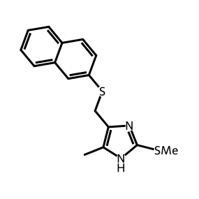 CSc1nc(CSc2ccc3ccccc3c2)c(C)[nH]1